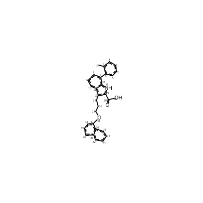 Cc1ccccc1-c1cccc2c(CCCOc3cccc4ccccc34)c(C(=O)O)[nH]c12